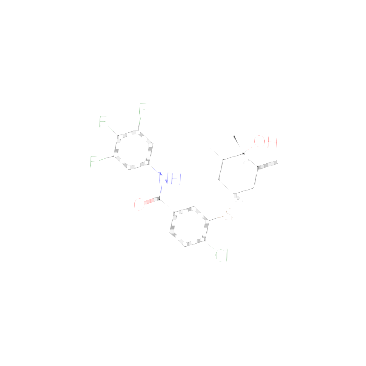 C=C1C[C@H](Sc2cc(C(=O)Nc3cc(F)c(F)c(F)c3)ccc2Cl)CC(C)[C@]1(C)O